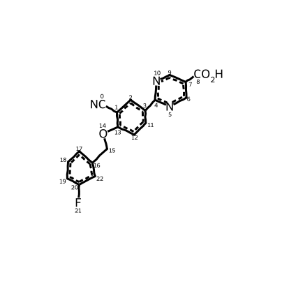 N#Cc1cc(-c2ncc(C(=O)O)cn2)ccc1OCc1cccc(F)c1